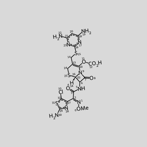 CON=C(C(=O)NC1C(=O)N2C(OC(=O)O)=C(CSc3nc(N)cc(N)n3)CS[C@@H]12)c1nc(N)sc1Cl